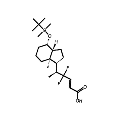 C[C@@H]([C@H]1CC[C@H]2[C@@H](O[Si](C)(C)C(C)(C)C)CCC[C@]12C)C(F)(F)/C=C/C(=O)O